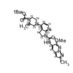 COc1nn2nc(C)cc2cc1NC(=O)N1CCc2c(N3CCN(C(=O)OC(C)(C)C)[C@H](C)C3)ccnc21